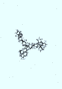 c1ccc([Si](c2ccccc2)(c2ccccc2)c2ccc(-c3ccc(N(c4ccc(-c5ccc6c(c5)oc5ccccc56)cc4)c4cc5ccc6cccc7ccc(c4)c5c67)cc3)cc2)cc1